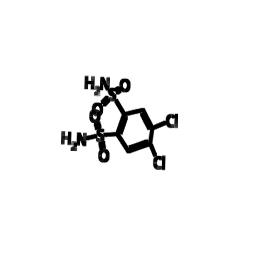 NS(=O)(=O)c1cc(Cl)c(Cl)cc1S(N)(=O)=O